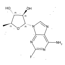 C[C@@H]1O[C@@H](n2cnc3c(N)nc(F)nc32)[C@H](O)[C@H]1O